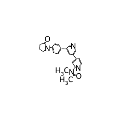 CC(=O)N(C)c1cc(-c2cncc(-c3ccc(N4CCCC4=O)cc3)c2)ccn1